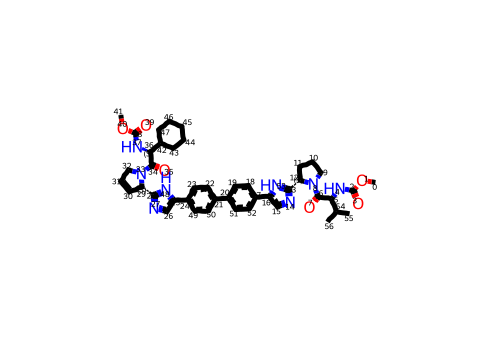 COC(=O)NC(C(=O)N1CCC[C@H]1c1ncc(-c2ccc(-c3ccc(-c4cnc([C@@H]5C=CCN5C(=O)[C@@H](NC(=O)OC)C5CCCCC5)[nH]4)cc3)cc2)[nH]1)C(C)C